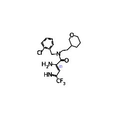 N=C(/C=C(\N)C(=O)N(CCC1CCCOC1)Cc1ccccc1Cl)C(F)(F)F